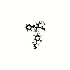 Cc1nn(-c2ccccc2)c(COc2ccc(CC(=O)O)cc2)c1C#N